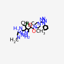 C=C/C(F)=c1/c(C(=O)C(=O)N2[C@H](C)CN(c3nnnn3-c3ccccc3)C[C@@H]2C)c[nH]/c1=C(/N)N(N)/C=C\N=C